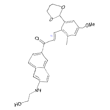 COc1cc(C)c(/C=C/C(=O)c2ccc3cc(NCCO)ccc3c2)c(C2OCCO2)c1